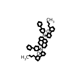 CCCCc1cccc2c1oc1c(N(c3ccc(-c4ccccc4)cc3)c3ccc4ccc5c(N(c6ccc(-c7ccccc7)cc6)c6cccc7c6oc6c(CCCC)cccc67)ccc6ccc3c4c65)cccc12